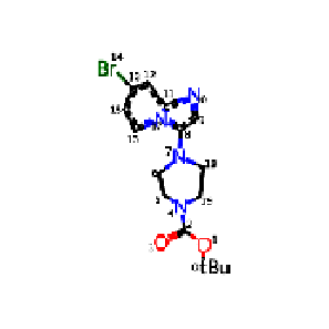 CC(C)(C)OC(=O)N1CCN(c2cnc3cc(Br)ccn23)CC1